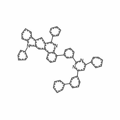 c1ccc(-c2cccc(-c3cc(-c4ccccc4)nc(-c4cccc(-c5cccc6c5nc(-c5ccccc5)c5cc7c8ccccc8n(-c8ccccc8)c7cc56)c4)n3)c2)cc1